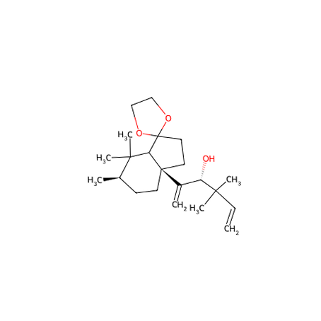 C=CC(C)(C)[C@@H](O)C(=C)[C@@]12CC[C@@H](C)C(C)(C)C1C1(CC2)OCCO1